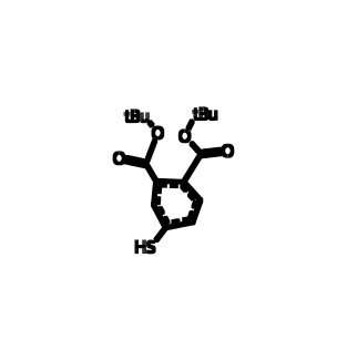 CC(C)(C)OC(=O)c1ccc(S)cc1C(=O)OC(C)(C)C